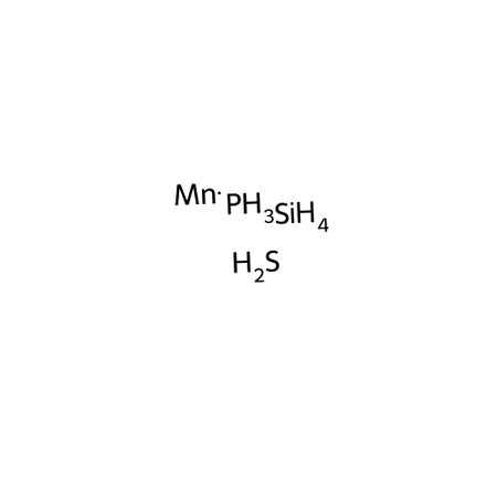 P.S.[Mn].[SiH4]